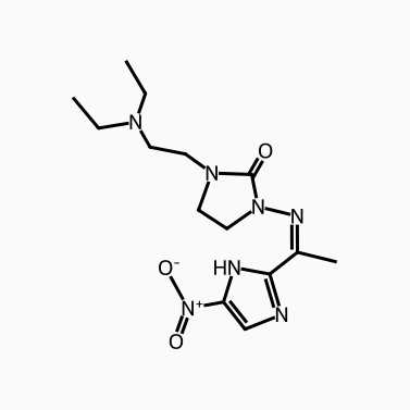 CCN(CC)CCN1CCN(N=C(C)c2ncc([N+](=O)[O-])[nH]2)C1=O